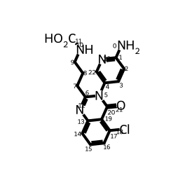 Nc1ccc(-n2c(CCCNC(=O)O)nc3cccc(Cl)c3c2=O)cn1